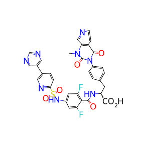 Cn1c(=O)n(-c2ccc(C[C@H](NC(=O)c3c(F)cc(NS(=O)(=O)c4ccc(-c5cncnc5)cn4)cc3F)C(=O)O)cc2)c(=O)c2ccncc21